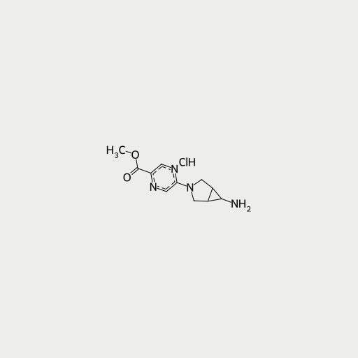 COC(=O)c1cnc(N2CC3C(N)C3C2)cn1.Cl